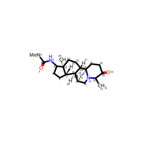 CNC(=O)NC1CC[C@H]2[C@@H]3CCN4C(C)C(=O)CC[C@]4(C)[C@H]3CC[C@]12C